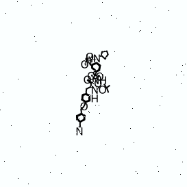 CC(C)(C)OC(=O)NC(Cc1ccc(OCc2ccc(C#N)cc2)cc1)C(=O)NS(=O)(=O)c1ccc(NC2CCCC2)c([N+](=O)[O-])c1